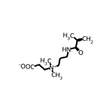 C=C(C)C(=O)NCCC[N+](C)(C)CCC(=O)[O-]